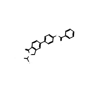 CC(C)C(C(=O)O)N1Cc2cc(-c3ccc(NC(=O)c4ccccc4)cc3)ccc2C1=O